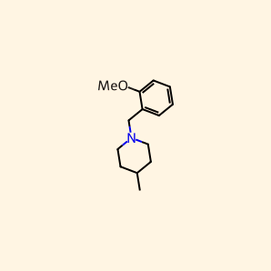 COc1ccccc1CN1CCC(C)CC1